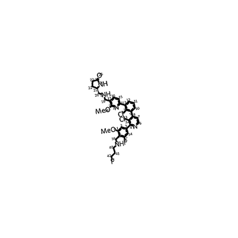 COc1cc(-c2nccc(-c3cccc(-c4ccc(CNC[C@H]5CCC(=O)N5)c(OC)n4)c3Cl)c2Cl)cc(F)c1CNCCCF